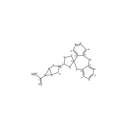 O=C(O)C1C2CN(C3CCC4(Cc5ccccc5Cc5ccccc54)C3)CC21